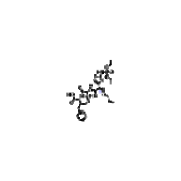 C=CCO/N=C(\C(=O)NC1C(=O)N2C(C(=O)O)=C(C[n+]3ccccc3)CS[C@H]12)c1nsc(NP(=O)(OCC)OCC)n1